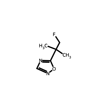 CC(C)(CF)c1ncno1